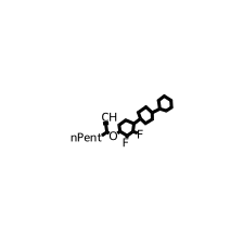 C#CC(CCCCC)OC1CCC(C2CCC(C3CCCCC3)CC2)C(F)C1F